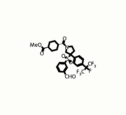 COC(=O)[C@H]1CC[C@H](C(=O)N2CCC(c3ccc(C(F)(C(F)(F)F)C(F)(F)F)cc3)(S(=O)(=O)c3cccc(C=O)c3)C2)CC1